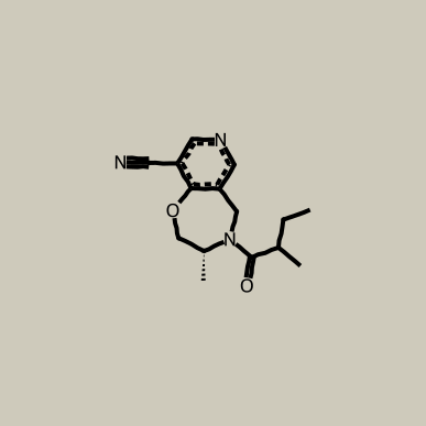 CCC(C)C(=O)N1Cc2cncc(C#N)c2OC[C@H]1C